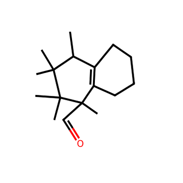 CC1C2=C(CCCC2)C(C)(C=O)C(C)(C)C1(C)C